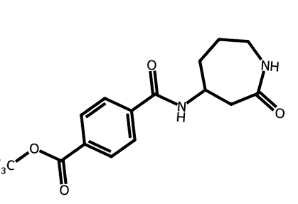 COC(=O)c1ccc(C(=O)NC2CCCNC(=O)C2)cc1